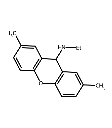 CCNC1c2cc(C)ccc2Oc2ccc(C)cc21